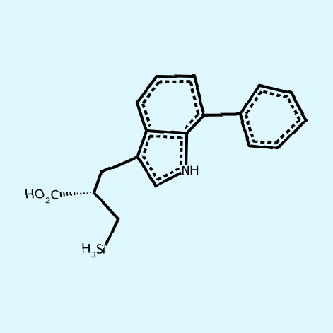 O=C(O)[C@@H](C[SiH3])Cc1c[nH]c2c(-c3ccccc3)cccc12